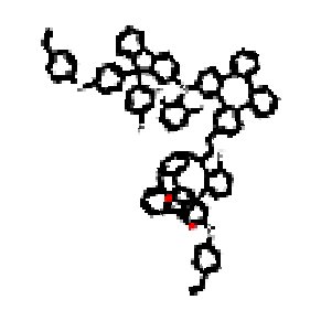 C=Cc1ccc(Oc2ccc(C3(c4ccc(F)cc4)c4ccccc4-c4ccc(N(c5ccc6c(c5)-c5cc(CCC7c8ccc(c(-c9ccc(F)cc9)c8)-c8ccccc8-c8ccc(Oc9ccc(C=C)cc9)cc8-c8cccc(F)c87)ccc5-c5ccccc5-c5ccccc5-6)c5c(F)cccc5F)cc43)cc2)cc1